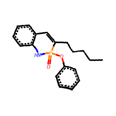 CCCCCC1=Cc2ccccc2NP1(=O)Oc1ccccc1